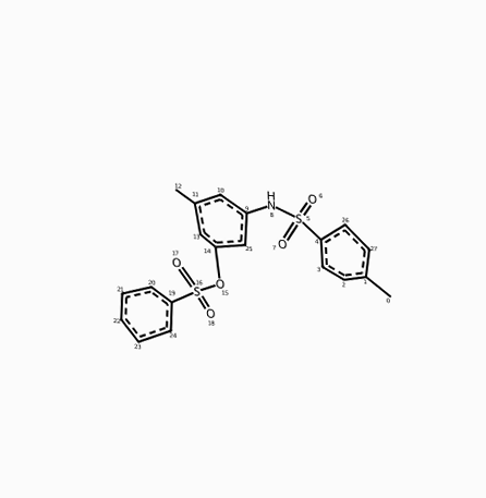 Cc1ccc(S(=O)(=O)Nc2cc(C)cc(OS(=O)(=O)c3ccccc3)c2)cc1